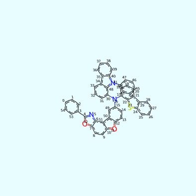 c1ccc(-c2nc3c(ccc4oc5ccc(N(c6cccc7c6sc6ccccc67)c6cccc7c8ccccc8n(-c8ccccc8)c67)cc5c43)o2)cc1